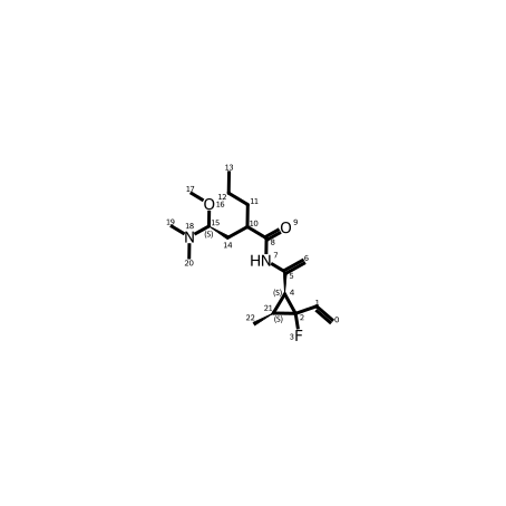 C=CC1(F)[C@H](C(=C)NC(=O)C(CCC)C[C@H](OC)N(C)C)[C@@H]1C